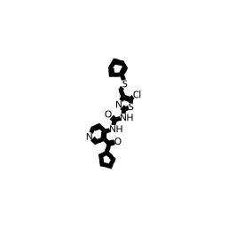 O=C(Nc1nc(CSc2ccccc2)c(Cl)s1)Nc1ccncc1C(=O)C1CCCC1